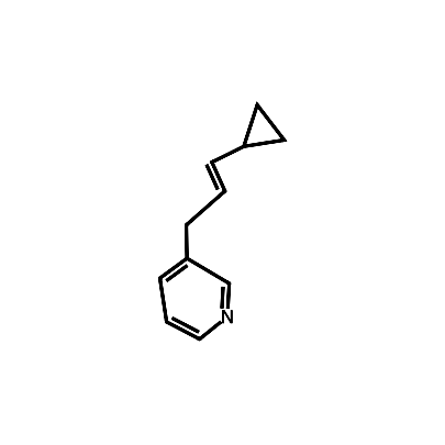 C(=C\C1CC1)/Cc1cccnc1